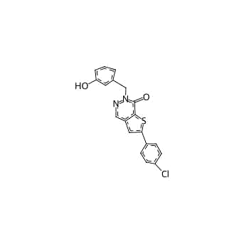 O=c1c2sc(-c3ccc(Cl)cc3)cc2cnn1Cc1cccc(O)c1